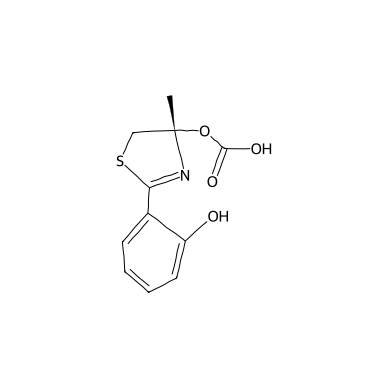 C[C@]1(OC(=O)O)CSC(c2ccccc2O)=N1